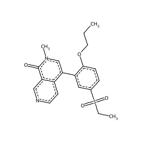 CCCOc1ccc(S(=O)(=O)CC)cc1-c1cn(C)c(=O)c2cnccc12